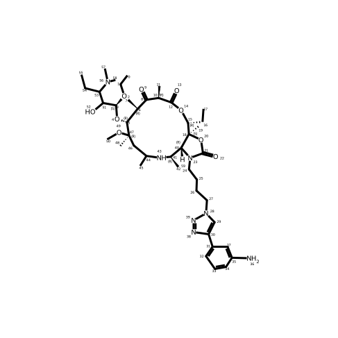 CCO[C@@H](O[C@@H]1[C@@H](C)C(=O)[C@@H](C)C(=O)O[C@H](CC)[C@@]2(C)OC(=O)N(CCCCn3cc(-c4cccc(N)c4)nn3)[C@@H]2[C@@H](C)NC(C)C[C@@]1(C)OC)C(O)C(CC)N(C)C